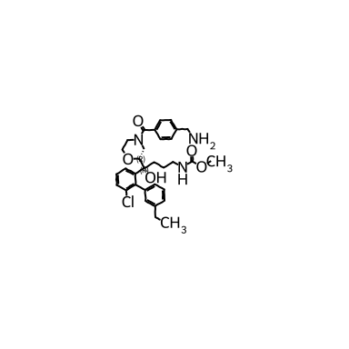 CCc1cccc(-c2c(Cl)cccc2[C@](O)(CCCNC(=O)OC)[C@H]2CN(C(=O)c3ccc(CN)cc3)CCO2)c1